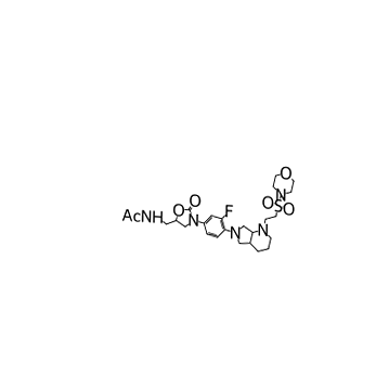 CC(=O)NCC1CN(c2ccc(N3CC4CCCN(CCS(=O)(=O)N5CCOCC5)C4C3)c(F)c2)C(=O)O1